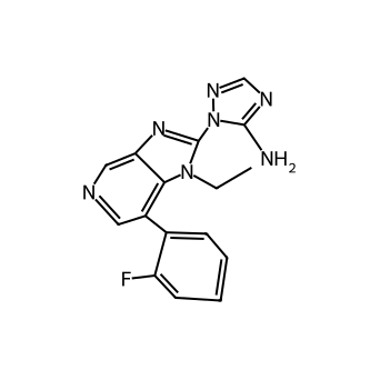 CCn1c(-n2ncnc2N)nc2cncc(-c3ccccc3F)c21